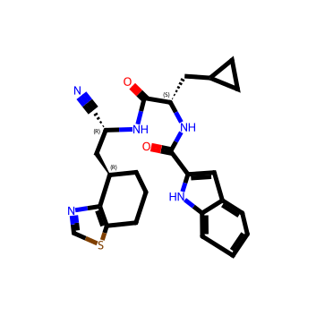 N#C[C@@H](C[C@H]1CCCc2scnc21)NC(=O)[C@H](CC1CC1)NC(=O)c1cc2ccccc2[nH]1